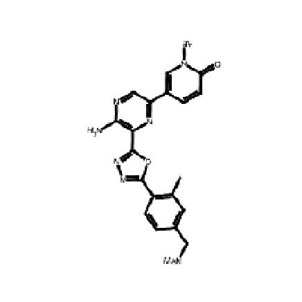 CNCc1ccc(-c2nnc(-c3nc(-c4ccc(=O)n(C(C)C)c4)cnc3N)o2)c(C)c1